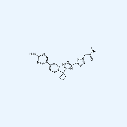 CN(C)C(=O)Cn1cc(-c2nc(C3(c4ccc(-c5cnc(N)nc5)cc4)CCC3)no2)cn1